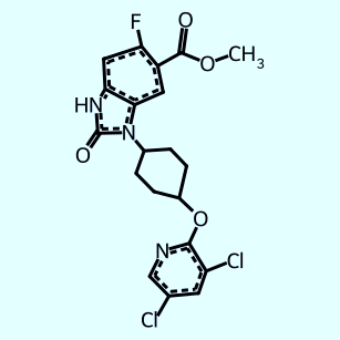 COC(=O)c1cc2c(cc1F)[nH]c(=O)n2C1CCC(Oc2ncc(Cl)cc2Cl)CC1